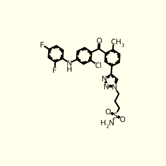 Cc1ccc(-c2cn(CCCS(N)(=O)=O)nn2)cc1C(=O)c1ccc(Nc2ccc(F)cc2F)cc1Cl